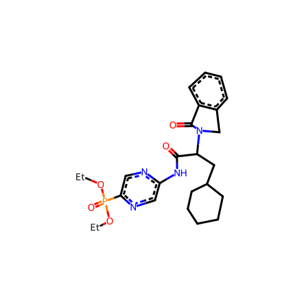 CCOP(=O)(OCC)c1cnc(NC(=O)C(CC2CCCCC2)N2Cc3ccccc3C2=O)cn1